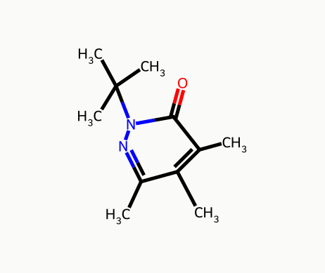 Cc1nn(C(C)(C)C)c(=O)c(C)c1C